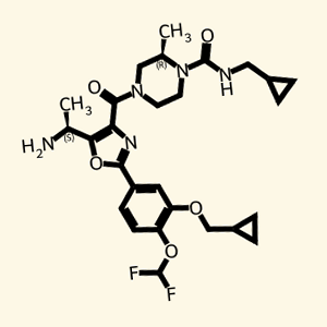 C[C@H](N)c1oc(-c2ccc(OC(F)F)c(OCC3CC3)c2)nc1C(=O)N1CCN(C(=O)NCC2CC2)[C@H](C)C1